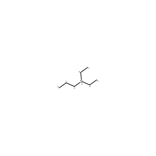 CCC[Si](CC)CC